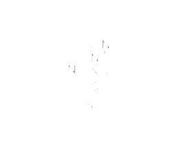 CC(C)CC1CS/C(=C(/C#N)n2ccnc2)S1